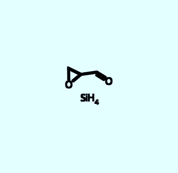 O=CC1CO1.[SiH4]